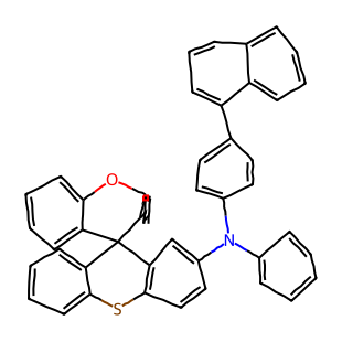 c1ccc(N(c2ccc(-c3cccc4ccccc34)cc2)c2ccc3c(c2)C2(c4ccccc4Oc4ccccc42)c2ccccc2S3)cc1